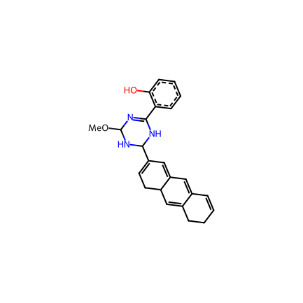 COC1N=C(c2ccccc2O)NC(C2=CCC3C=C4CCC=CC4=CC3=C2)N1